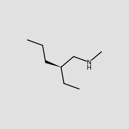 CCC[C@H](CC)CNC